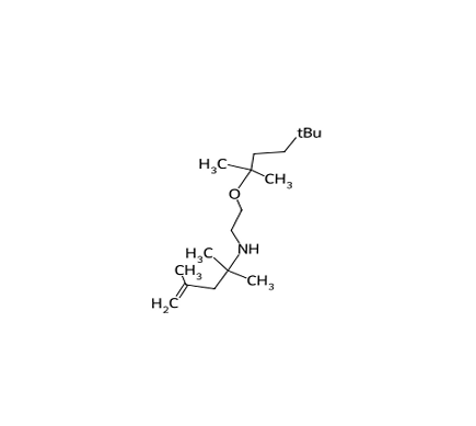 C=C(C)CC(C)(C)NCCOC(C)(C)CCC(C)(C)C